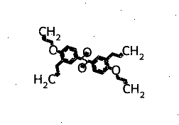 C=CCOc1ccc(S(=O)(=O)c2ccc(OCC=C)c(CC=C)c2)cc1CC=C